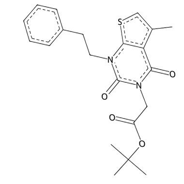 Cc1csc2c1c(=O)n(CC(=O)OC(C)(C)C)c(=O)n2CCc1ccccc1